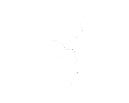 CCCCCN(CCCCC)C(O)CC